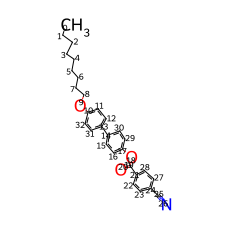 CCCCCCCCCOc1ccc(-c2ccc(OC(=O)c3ccc(C#N)cc3)cc2)cc1